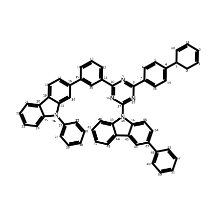 C1=CCC(c2ccc(-c3nc(-c4cccc(-c5ccc6c7ccccc7n(-c7ccccc7)c6c5)c4)nc(-n4c5ccccc5c5cc(-c6ccccc6)ccc54)n3)cc2)C=C1